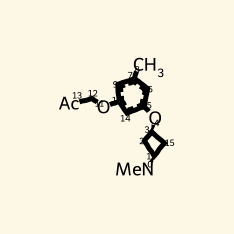 CN[C@H]1C[C@@H](Oc2cc(C)cc(OCC(C)=O)c2)C1